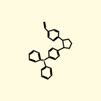 C=Cc1ccc(C2CCCC2c2ccc(N(c3ccccc3)c3ccccc3)cc2)cc1